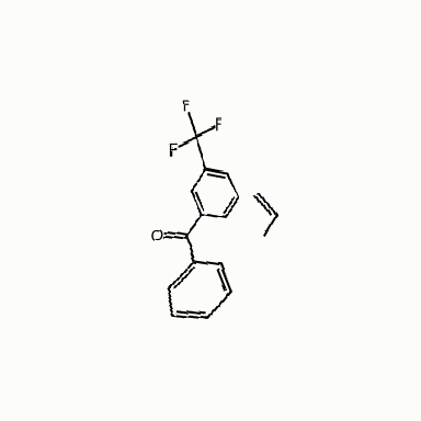 C=CC.O=C(c1ccccc1)c1cccc(C(F)(F)F)c1